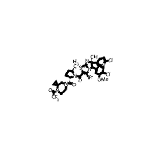 COc1cc(C2N3C(=N[C@@]2(C)c2ccc(Cl)nc2)SC(C(=O)N2[C@H](C)CC[C@H]2C(=O)N2CCN(C(=O)C(F)(F)F)C4(CC4)C2)=C3C(C)C)ccc1Cl